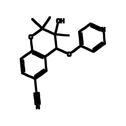 CC1(C)Oc2ccc(C#N)cc2C(Oc2ccncc2)C1(C)O